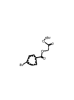 CCC(C)c1ccc(C(=O)OCC(=O)OC(C)(C)C)cc1